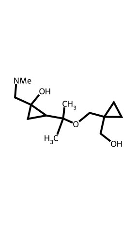 CNCC1(O)CC1C(C)(C)OCC1(CO)CC1